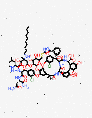 CCCCCCCCCCNC1(C)CC(OC2C(Oc3c4cc(cc3Oc3ccc([C@@H](O)[C@@H](NC(=O)[C@H](CC(C)C)NC)C(=O)N[C@@H](CC(N)=O)C(N)=O)cc3Cl)[C@@H](C)C(=O)N[C@H]3C(=O)NC(C(=O)N[C@@H](C(=O)O)c5cc(O)cc(O)c5-c5cc3ccc5O)[C@H](O)c3ccc(c(Cl)c3)O4)OC(CSc3nnc(-c4ccccc4)o3)C(O)C2O)OC(C)C1O